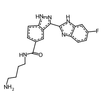 NCCCCNC(=O)c1ccc2[nH]nc(-c3nc4ccc(F)cc4[nH]3)c2c1